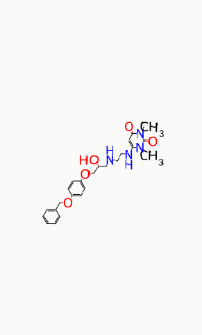 Cn1c(NCCNCC(O)COc2ccc(OCc3ccccc3)cc2)cc(=O)n(C)c1=O